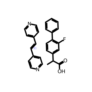 C(=C\c1ccncc1)/c1ccncc1.CC(C(=O)O)c1ccc(-c2ccccc2)c(F)c1